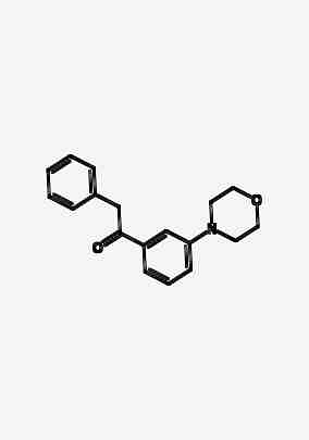 O=C(Cc1ccccc1)c1cccc(N2CCOCC2)c1